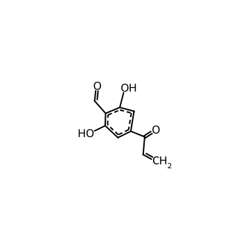 C=CC(=O)c1cc(O)c(C=O)c(O)c1